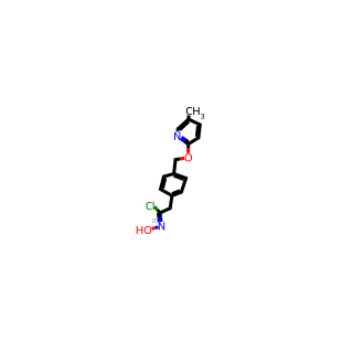 Cc1ccc(OCc2ccc(C/C(Cl)=N/O)cc2)nc1